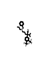 CCCN(CCCC(C#N)(c1ccc(C(F)(F)F)c(C(F)(F)F)c1)C(C)C)Cc1ccccc1